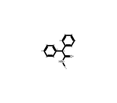 O=C(NI)C(c1ccccc1)c1ccccc1